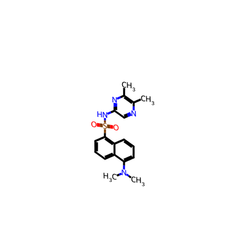 Cc1ncc(NS(=O)(=O)c2cccc3c(N(C)C)cccc23)nc1C